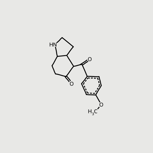 COc1ccc(C(=O)C2C(=O)CCC3NCCC32)cc1